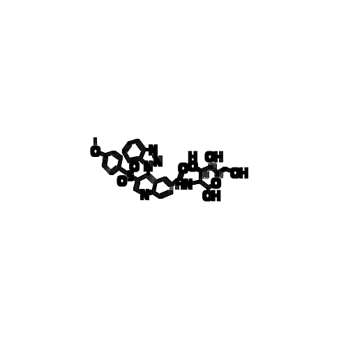 COc1ccc(S(=O)(=O)c2cnc3ccc(C(=O)NC4C(O)O[C@H](CO)[C@@H](O)[C@@H]4O)cc3c2-n2nnc3ccccc32)cc1